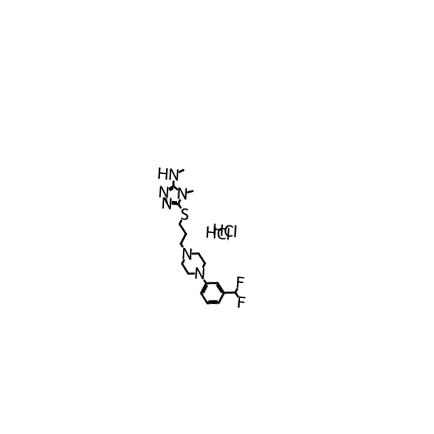 CNc1nnc(SCCCN2CCN(c3cccc(C(F)F)c3)CC2)n1C.Cl.Cl